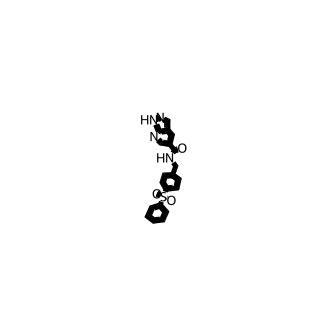 O=C(NCc1ccc(S(=O)(=O)c2ccccc2)cc1)c1cnc2[nH]ncc2c1